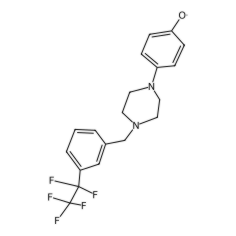 [O]c1ccc(N2CCN(Cc3cccc(C(F)(F)C(F)(F)F)c3)CC2)cc1